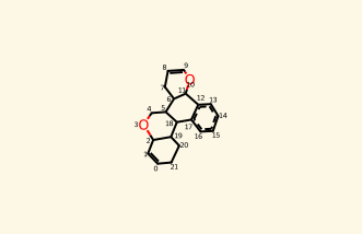 C1=CC2OCC3C4CC=COC4c4ccccc4C3C2CC1